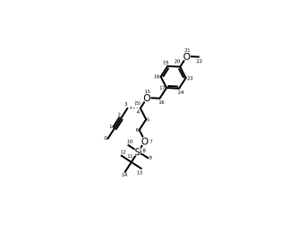 CC#CC[C@@H](CCO[Si](C)(C)C(C)(C)C)OCc1ccc(OC)cc1